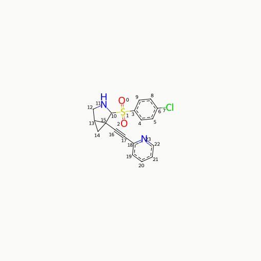 O=S(=O)(c1ccc(Cl)cc1)C1NCC2CC21C#Cc1ccccn1